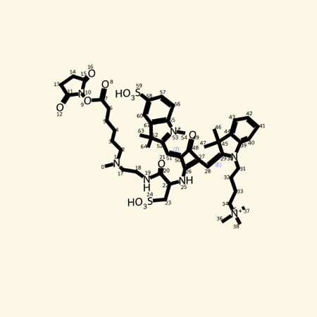 CN(CCCCCC(=O)ON1C(=O)CCC1=O)CCNC(=O)C(CS(=O)(=O)O)NC1=C(/C=C2/N(CCCC[N+](C)(C)C)c3ccccc3C2(C)C)C(=O)/C1=C\C1=[N+](C)c2ccc(S(=O)(=O)O)cc2C1(C)C